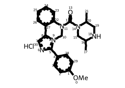 COc1ccc(-c2ncc3n2CN(C(=O)N2CC(C)NCC2C)c2ccccc2-3)cc1.Cl